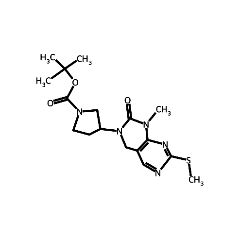 CSc1ncc2c(n1)N(C)C(=O)N(C1CCN(C(=O)OC(C)(C)C)C1)C2